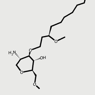 CCCCCCC[C@H](CCO[C@H]1[C@H](O)[C@@H](COC)OC[C@@H]1N)OC